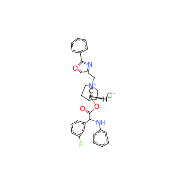 O=C(O[C@H]1C[N+]2(Cc3coc(-c4ccccc4)n3)CCC1CC2)C(Nc1ccccc1)c1cccc(F)c1.[Cl-]